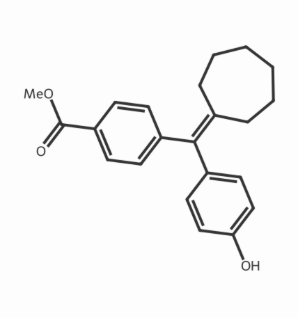 COC(=O)c1ccc(C(=C2CCCCCC2)c2ccc(O)cc2)cc1